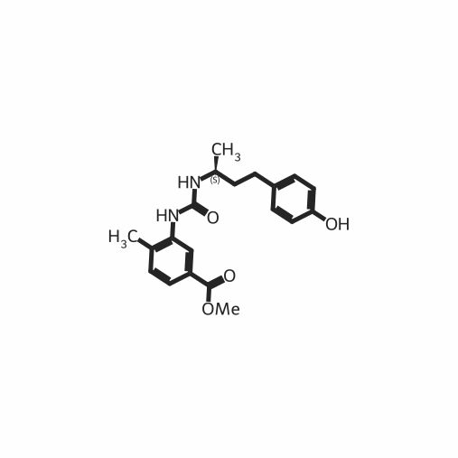 COC(=O)c1ccc(C)c(NC(=O)N[C@@H](C)CCc2ccc(O)cc2)c1